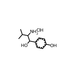 CC(C)C(N)C(O)c1ccc(O)cc1.Cl